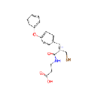 O=C(O)CCNC(=O)/C(=C\c1ccc(Oc2ccccc2)cc1)CS